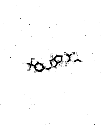 CCC[C@H](N[C@H]1CC[C@@H]2CN(Cc3ccc(C(F)(F)F)cc3)C[C@@H]21)C(N)=O